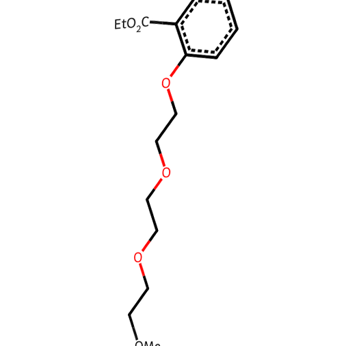 CCOC(=O)c1ccccc1OCCOCCOCCOC